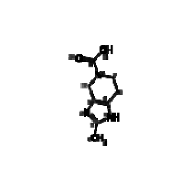 Cc1nc2c([nH]1)CCN(C(=O)O)C2